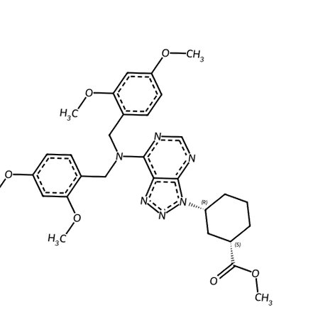 COC(=O)[C@H]1CCC[C@@H](n2nnc3c(N(Cc4ccc(OC)cc4OC)Cc4ccc(OC)cc4OC)ncnc32)C1